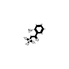 O=C(CS(=O)(=O)[O-])c1ccccc1.[Na+]